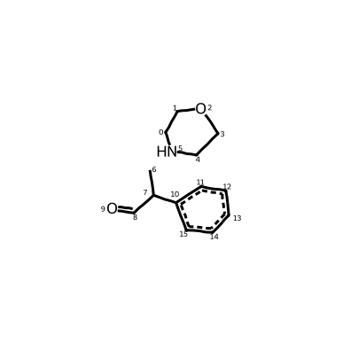 C1COCCN1.CC(C=O)c1ccccc1